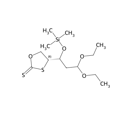 CCOC(CC(O[Si](C)(C)C)[C@H]1COC(=S)S1)OCC